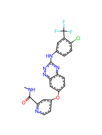 CNC(=O)c1cc(Oc2ccc3nc(Nc4ccc(Cl)c(C(F)(F)F)c4)nnc3c2)ccn1